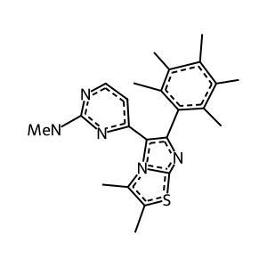 CNc1nccc(-c2c(-c3c(C)c(C)c(C)c(C)c3C)nc3sc(C)c(C)n23)n1